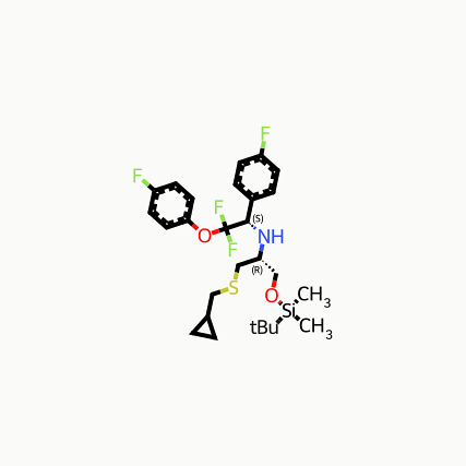 CC(C)(C)[Si](C)(C)OC[C@H](CSCC1CC1)N[C@@H](c1ccc(F)cc1)C(F)(F)Oc1ccc(F)cc1